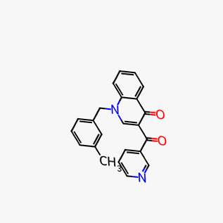 Cc1cccc(Cn2cc(C(=O)c3cccnc3)c(=O)c3ccccc32)c1